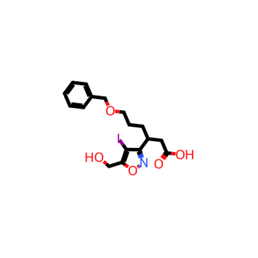 O=C(O)CC(CCCOCc1ccccc1)c1noc(CO)c1I